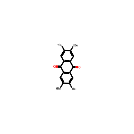 CC(C)(C)c1cc2c(cc1C(C)(C)C)C(=O)c1cc(C(C)(C)C)c(C(C)(C)C)cc1C2=O